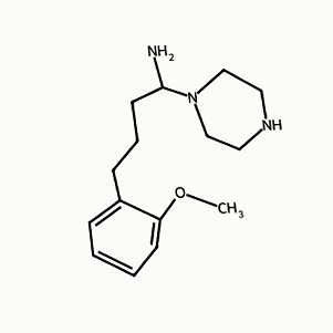 COc1ccccc1CCCC(N)N1CCNCC1